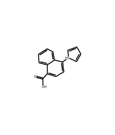 O=C(O)c1ccc([SH]2C=CC=C2)c2ccccc12